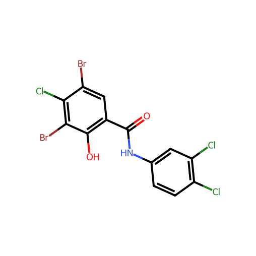 O=C(Nc1ccc(Cl)c(Cl)c1)c1cc(Br)c(Cl)c(Br)c1O